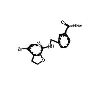 CNC(=O)c1cccc(CNc2ncc(Br)c3c2OCC3)c1